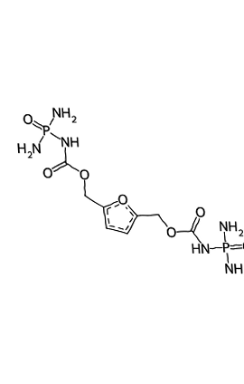 NP(N)(=O)NC(=O)OCc1ccc(COC(=O)NP(N)(N)=O)o1